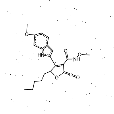 CCCCCC1OC(=C=O)C(C(=O)NOC)=C1c1cc2ccc(OC)cc2[nH]1